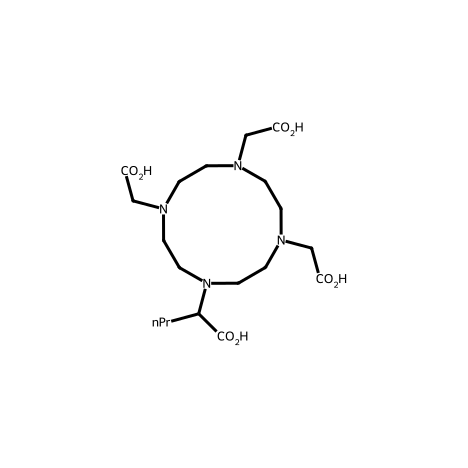 CCCC(C(=O)O)N1CCN(CC(=O)O)CCN(CC(=O)O)CCN(CC(=O)O)CC1